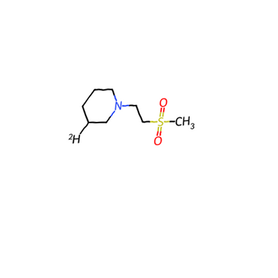 [2H]C1CCCN(CCS(C)(=O)=O)C1